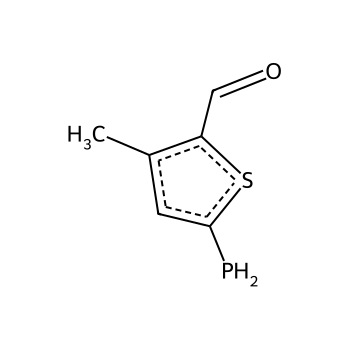 Cc1cc(P)sc1C=O